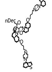 CCCCCCCCCCCC(=O)C(=O)C(Cn1c(=O)ccc2ccc(OCCCCN3CCN(c4cccc5sccc45)CC3)cc21)Cn1c(=O)ccc2ccc(OCCCCN3CCN(c4cccc5sccc45)CC3)cc21